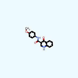 COc1ccc(NC(=O)c2c[nH]c3ccccc3c2=O)cc1